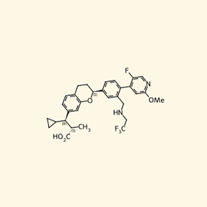 COc1cc(-c2ccc([C@@H]3CCc4ccc([C@H](C5CC5)[C@H](C)C(=O)O)cc4O3)cc2CNCC(F)(F)F)c(F)cn1